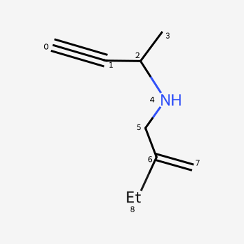 C#CC(C)NCC(=C)CC